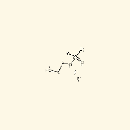 O=P([O-])([O-])OCCO.[K+].[K+]